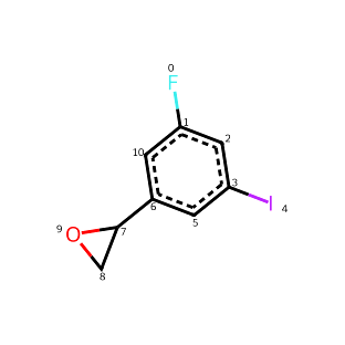 Fc1cc(I)cc(C2CO2)c1